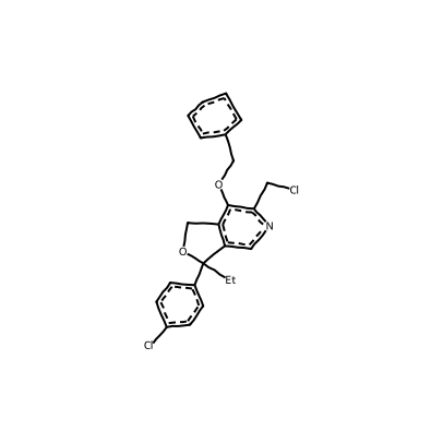 CCC1(c2ccc(Cl)cc2)OCc2c1cnc(CCl)c2OCc1ccccc1